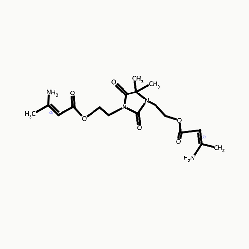 C/C(N)=C/C(=O)OCCN1C(=O)N(CCOC(=O)/C=C(/C)N)C(C)(C)C1=O